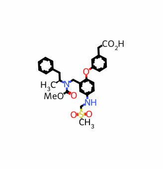 COC(=O)N(Cc1cc(NCS(C)(=O)=O)ccc1Oc1cccc(CC(=O)O)c1)[C@@H](C)Cc1ccccc1